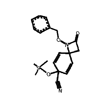 C[Si](C)(C)OC1(C#N)C=CC2(C=C1)CC(=O)N2OCc1ccccc1